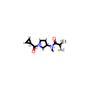 CCC(C(C)=O)C(=O)N(C)C1CCN(C(=O)C2CC2)C1